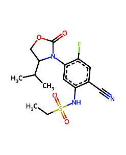 CCS(=O)(=O)Nc1cc(N2C(=O)OCC2C(C)C)c(F)cc1C#N